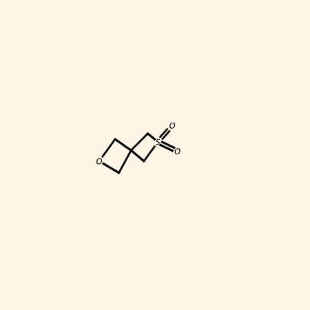 O=S1(=O)CC2(COC2)C1